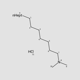 CCCCCCCCCCCCCCN(C)C.Cl